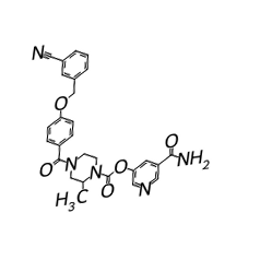 CC1CN(C(=O)c2ccc(OCc3cccc(C#N)c3)cc2)CCN1C(=O)Oc1cncc(C(N)=O)c1